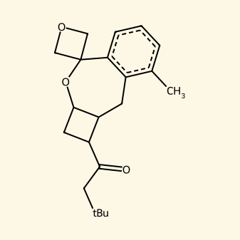 Cc1cccc2c1CC1C(CC1C(=O)CC(C)(C)C)OC21COC1